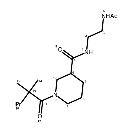 CC(=O)NCCNC(=O)C1CCCN(C(=O)C(C)(C)C(C)C)C1